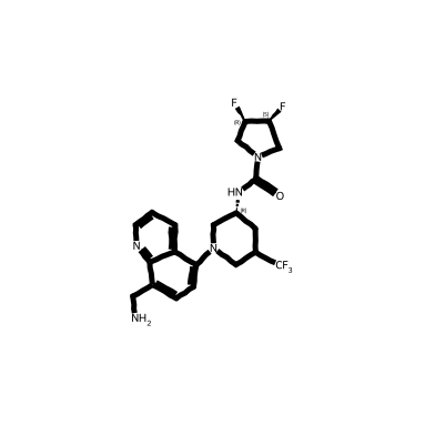 NCc1ccc(N2CC(C(F)(F)F)C[C@@H](NC(=O)N3C[C@@H](F)[C@@H](F)C3)C2)c2cccnc12